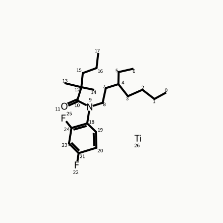 CCCCC(CC)CCN(C(=O)C(C)(C)CCC)c1ccc(F)[c]c1F.[Ti]